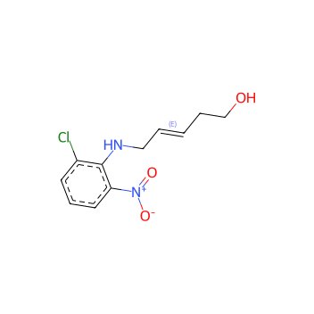 O=[N+]([O-])c1cccc(Cl)c1NC/C=C/CCO